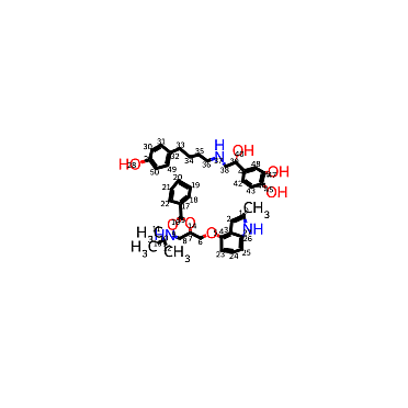 Cc1cc2c(OCC(CNC(C)(C)C)OC(=O)c3ccccc3)cccc2[nH]1.Oc1ccc(CCCCNC[C@H](O)c2ccc(O)c(O)c2)cc1